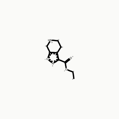 CCOC(=O)c1noc2c1CCNC2